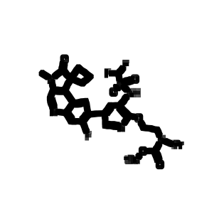 CC(C)N(CCOc1ncc(-c2cc3c4c(cnc3cc2F)N(C)C(=O)C42CCC2)cc1NS(=O)(=O)C(F)F)C(=O)OC(C)(C)C